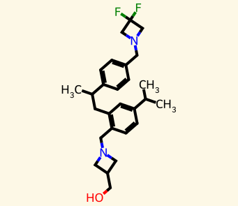 CC(C)c1ccc(CN2CC(CO)C2)c(CC(C)c2ccc(CN3CC(F)(F)C3)cc2)c1